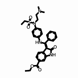 CCOC(=O)c1ccc2c(c1)NC(=O)C2=C(Nc1ccc(N(CCN(C)C)S(=O)(=O)CC)cc1)c1ccccc1